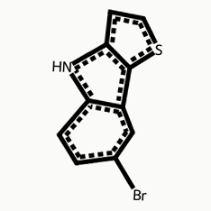 Brc1ccc2[nH]c3ccsc3c2c1